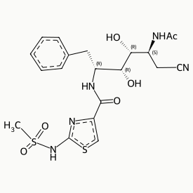 CC(=O)N[C@@H](CC#N)[C@@H](O)[C@H](O)[C@@H](Cc1ccccc1)NC(=O)c1csc(NS(C)(=O)=O)n1